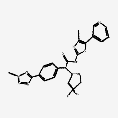 Cc1nc(NC(=O)[C@H](c2ccc(-c3nnn(C)n3)cc2)[C@H]2CCC(F)(F)C2)sc1-c1cccnc1